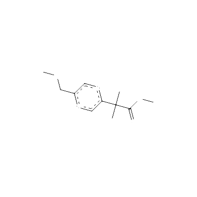 COCc1cnc(C(C)(C)C(=O)OC)cn1